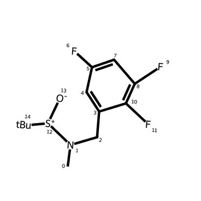 CN(Cc1cc(F)cc(F)c1F)[S+]([O-])C(C)(C)C